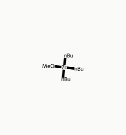 CCC[CH2][Zr]([CH2]CCC)([CH2]CCC)[O]C